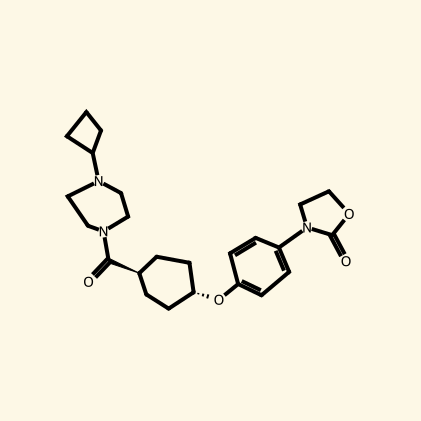 O=C1OCCN1c1ccc(O[C@H]2CC[C@H](C(=O)N3CCN(C4CCC4)CC3)CC2)cc1